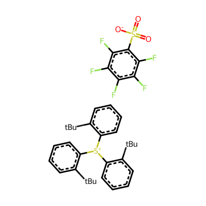 CC(C)(C)c1ccccc1[S+](c1ccccc1C(C)(C)C)c1ccccc1C(C)(C)C.O=S(=O)([O-])c1c(F)c(F)c(F)c(F)c1F